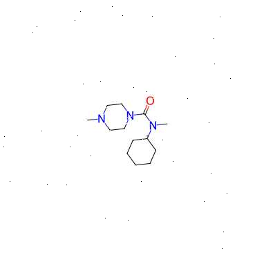 CN1CCN(C(=O)N(C)[C]2CCCCC2)CC1